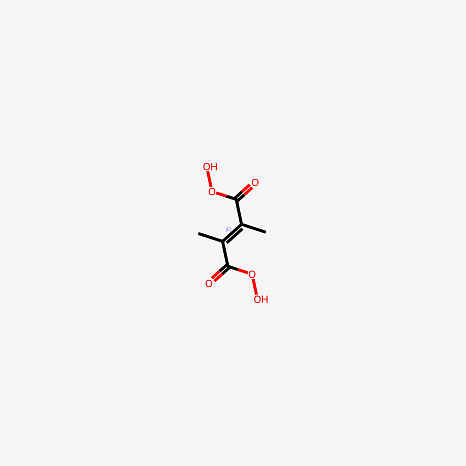 C/C(C(=O)OO)=C(/C)C(=O)OO